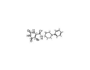 O=C(N[C@H]1CC[C@H](c2ccccc2)CC1)c1[nH]c(=O)[nH]c(=O)c1Br